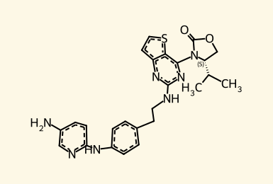 CC(C)[C@H]1COC(=O)N1c1nc(NCCc2ccc(Nc3ccc(N)cn3)cc2)nc2ccsc12